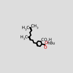 CCCCOC(=O)C1CC=C(CCC=C(C)CCC=C(C)C)CC1C(=O)O